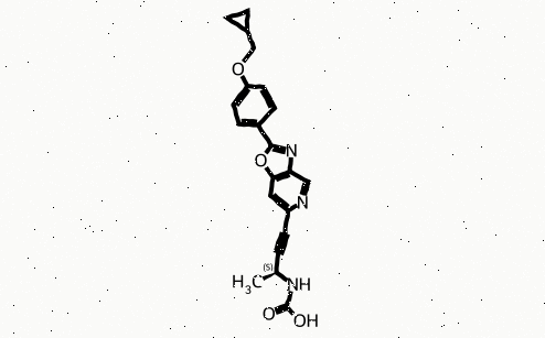 C[C@@H](C#Cc1cc2oc(-c3ccc(OCC4CC4)cc3)nc2cn1)NC(=O)O